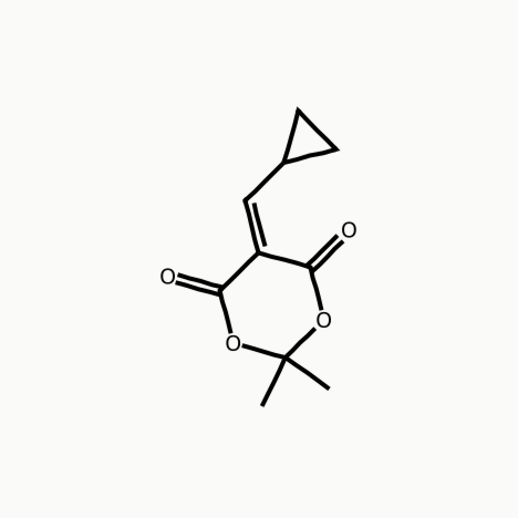 CC1(C)OC(=O)C(=CC2CC2)C(=O)O1